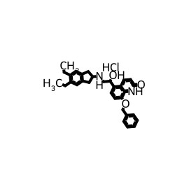 CCc1cc2c(cc1CC)CC(NCC(O)c1ccc(OCc3ccccc3)c3[nH]c(=O)ccc13)C2.Cl